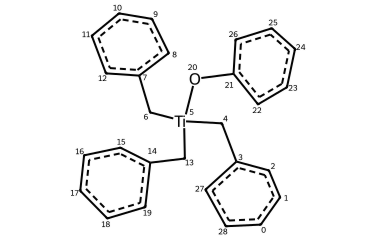 c1ccc([CH2][Ti]([CH2]c2ccccc2)([CH2]c2ccccc2)[O]c2ccccc2)cc1